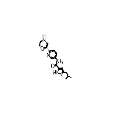 CC(C)Cc1cc(C(=O)Nc2ccc([C@H]3CNCCO3)nc2)[nH]n1